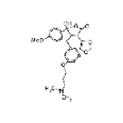 COc1ccc(C2(O)OC(=O)C(C3=COCO3)=C2Cc2cccc(OCCCN(C)C)c2)cc1